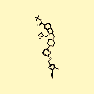 CC(C)(C)OC(=O)c1ccc2nc(CN3CCC(c4cccc(OCc5cc(F)c(C#N)s5)n4)CC3)n(C[C@@H]3CCO3)c2c1